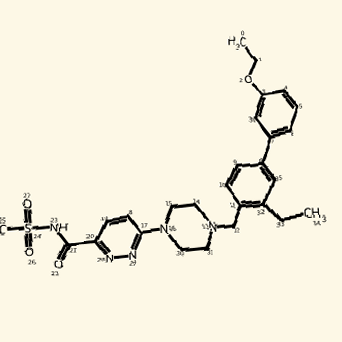 CCOc1cccc(-c2ccc(CN3CCN(c4ccc(C(=O)NS(C)(=O)=O)nn4)CC3)c(CC)c2)c1